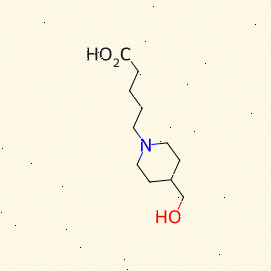 O=C(O)CCCCN1CCC(CO)CC1